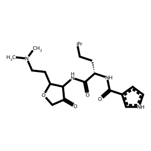 CC(C)CC[C@H](NC(=O)c1cc[nH]c1)C(=O)NC1C(=O)COC1CCN(C)C